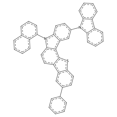 c1ccc(-c2ccc3sc4c(ccc5c4c4cc(-n6c7ccccc7c7ccccc76)ccc4n5-c4cccc5ccccc45)c3c2)cc1